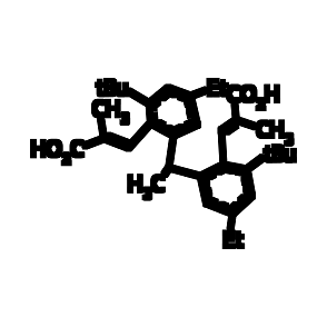 CCc1cc(C(C)c2cc(CC)cc(C(C)(C)C)c2C=C(C)C(=O)O)c(C=C(C)C(=O)O)c(C(C)(C)C)c1